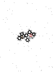 N#Cc1ccccc1-c1cc(-c2cccc3c2oc2ccccc23)cc(-c2cccc3c2sc2ccccc23)c1C#N